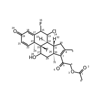 CC(=O)OCC(=O)C1=C(C)C[C@H]2[C@@H]3C(Cl)C(F)C4=CC(=O)C=C[C@]4(C)[C@@]3(F)C(O)C[C@]12C